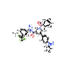 Cc1ccc(NC(=O)C2CC(c3ccc(NC4CCCC4)cc3)C3Cc4ccccc4C(=O)N3C2)cc1C(F)(F)F